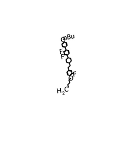 C=CCCCOc1ccc(CCC2CCC(c3ccc(-c4ccc(OCCCC)cc4)c(F)c3F)CC2)cc1F